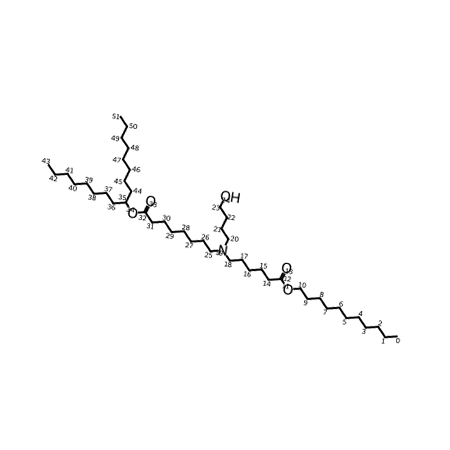 CCCCCCCCCCCOC(=O)CCCCCN(CCCCO)CCCCCCCC(=O)OC(CCCCCCCC)CCCCCCCC